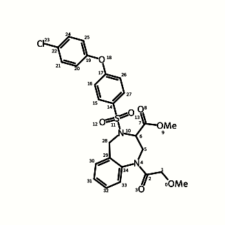 COCC(=O)N1CC(C(=O)OC)N(S(=O)(=O)c2ccc(Oc3ccc(Cl)cc3)cc2)Cc2ccccc21